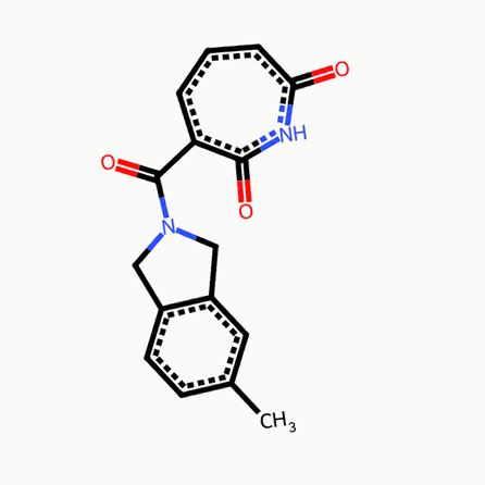 Cc1ccc2c(c1)CN(C(=O)c1cccc(=O)[nH]c1=O)C2